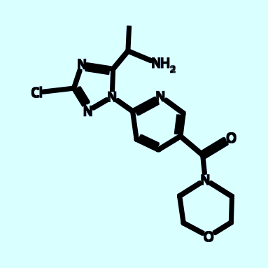 CC(N)c1nc(Cl)nn1-c1ccc(C(=O)N2CCOCC2)cn1